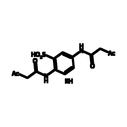 CC(=O)CC(=O)Nc1ccc(NC(=O)CC(C)=O)c(S(=O)(=O)O)c1.[KH]